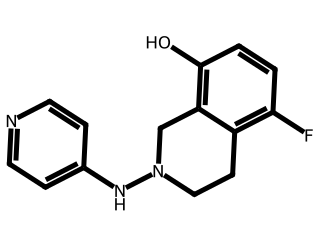 Oc1ccc(F)c2c1CN(Nc1ccncc1)CC2